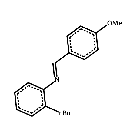 CCCCc1ccccc1/N=C/c1ccc(OC)cc1